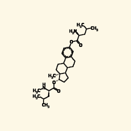 CN[C@H](CC(C)C)C(=O)O[C@H]1CCC2C3CCc4cc(OC(=O)[C@@H](N)CC(C)C)ccc4C3CC[C@@]21C